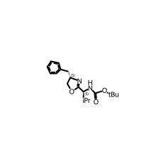 CC(C)[C@H](NC(=O)OC(C)(C)C)C1=N[C@@H](Cc2ccccc2)CO1